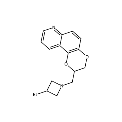 CCC1CN(CC2COc3ccc4ncccc4c3O2)C1